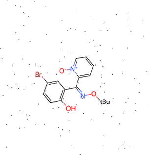 CC(C)(C)O/N=C(/c1cc(Br)ccc1O)c1cccc[n+]1[O-]